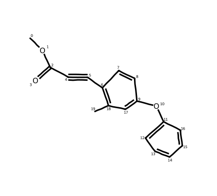 COC(=O)C#Cc1ccc(Oc2ccccc2)cc1C